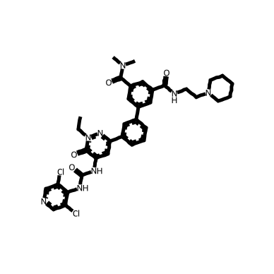 CCn1nc(-c2cccc(-c3cc(C(=O)NCCN4CCCCC4)cc(C(=O)N(C)C)c3)c2)cc(NC(=O)Nc2c(Cl)cncc2Cl)c1=O